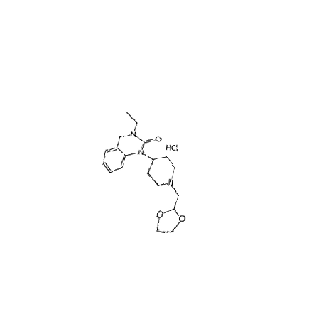 CCN1Cc2ccccc2N(C2CCN(CC3OCCO3)CC2)C1=O.Cl